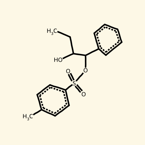 CCC(O)C(OS(=O)(=O)c1ccc(C)cc1)c1ccccc1